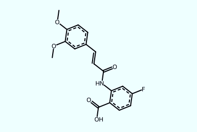 COc1ccc(C=CC(=O)Nc2cc(F)ccc2C(=O)O)cc1OC